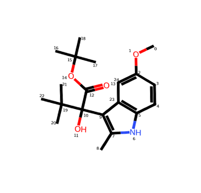 COc1ccc2[nH]c(C)c(C(O)(C(=O)OC(C)(C)C)C(C)(C)C)c2c1